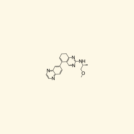 COC[C@H](C)Nc1ncc2c(n1)CCC=C2c1ccc2nccnc2c1